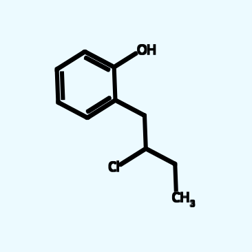 CCC(Cl)Cc1ccccc1O